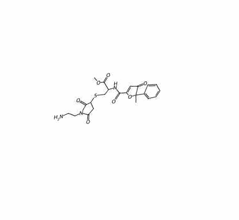 COC(=O)C(CSC1CC(=O)N(CCN)C1=O)NC(=O)C1=CC(=O)C(C)(c2ccccc2)O1